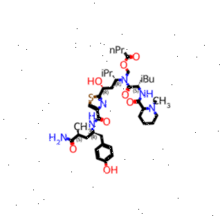 CCCC(=O)OCN(C(=O)[C@@H](NC(=O)C1CCCCN1C)C(C)CC)[C@H](C[C@@H](O)c1nc(C(=O)N[C@@H](Cc2ccc(O)cc2)C[C@H](C)C(N)=O)cs1)C(C)C